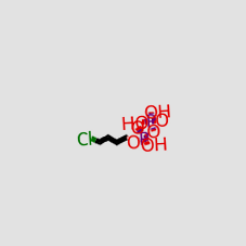 O=P(O)(O)OP(=O)(O)OCCCCCl